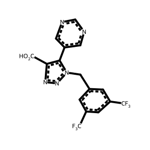 O=C(O)c1nnn(Cc2cc(C(F)(F)F)cc(C(F)(F)F)c2)c1-c1cncnc1